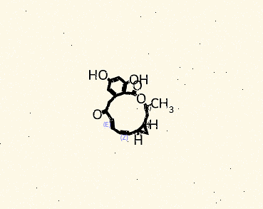 C[C@@H]1C[C@H]2C[C@@H]2/C=C\C=C\C(=O)Cc2cc(O)cc(O)c2C(=O)O1